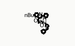 CCCCc1ccc2nc(-c3ccccc3)cc(C(=O)N(C)CC(=O)NC3CCN(Cc4ccccc4)C3)c2c1